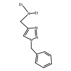 CCN(CC)Cc1cn(Cc2ccccc2)nn1